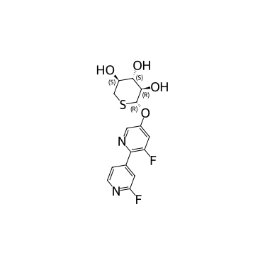 O[C@@H]1[C@@H](O)[C@H](Oc2cnc(-c3ccnc(F)c3)c(F)c2)SC[C@H]1O